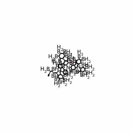 B/C(C#C)=C(B)/C(B)=C1\CC2(c3ccccc3-c3c(N(c4c(B)c(B)c(-c5c(B)c(B)c(B)c(B)c5B)c(B)c4B)c4c(B)c(B)c5c(c4B)c4c(B)c(B)c(B)c6c4n5-c4c(B)c(B)c(B)c(B)c4B6)cccc32)c2c(B)c(B)c(B)c(B)c21